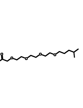 CC(=O)COCCOCCOCCOCCCC(C)C